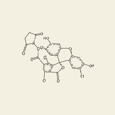 O=C(ON1C(=O)CCC1=O)c1cc(Cl)c2c(c1Cl)C1(OC2=O)c2cc(Cl)c(O)cc2Oc2cc(O)c(Cl)cc21